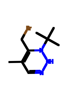 CC1=C(CBr)N(C(C)(C)C)NN=C1